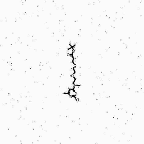 Cc1cc(N(C)CCOCCOCCC(=O)OC(C)(C)C)nc(Cl)n1